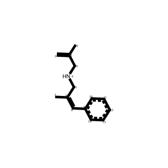 C=C(C)CNCC(C)=Cc1ccccc1